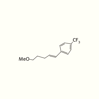 COCCCC=Cc1ccc(C(F)(F)F)cc1